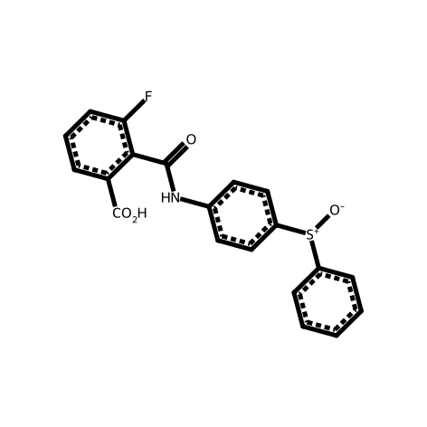 O=C(O)c1cccc(F)c1C(=O)Nc1ccc([S+]([O-])c2ccccc2)cc1